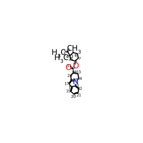 CC(C)C1(C)CCCC(OC(=O)[C@H]2CCn3c(cc4ccccc43)C2)C1